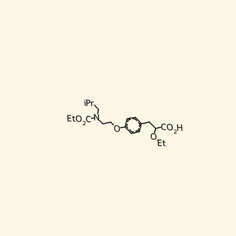 CCOC(=O)N(CCOc1ccc(CC(OCC)C(=O)O)cc1)CC(C)C